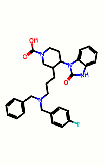 O=C(O)N1CCC(n2c(=O)[nH]c3ccccc32)C(CCCN(Cc2ccccc2)Cc2ccc(F)cc2)C1